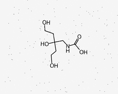 O=C(O)NCC(O)(CCO)CCO